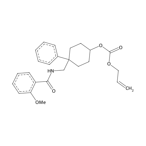 C=CCOC(=O)OC1CCC(CNC(=O)c2ccccc2OC)(c2ccccc2)CC1